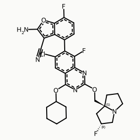 N#Cc1c(N)oc2c(F)ccc(-c3c(Cl)cc4c(OC5CCCCC5)nc(OC[C@@]56CCCN5C[C@H](F)C6)nc4c3F)c12